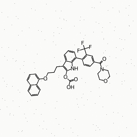 O=C(O)Oc1[nH]c2c(-c3ccc(C(=O)N4CCOCC4)cc3C(F)(F)F)cccc2c1CCCOc1cccc2ccccc12